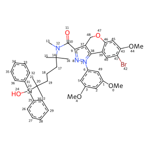 COc1cc(OC)cc(-n2nc(C(=O)N(C)C(C)(C)CCCC(C)(C)[Si](O)(c3ccccc3)c3ccccc3)c3c2-c2cc(Br)c(OC)cc2OC3)c1